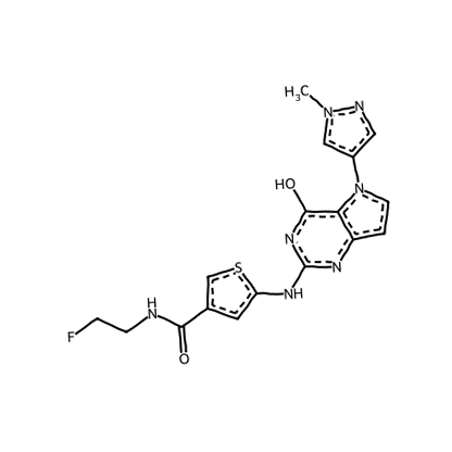 Cn1cc(-n2ccc3nc(Nc4cc(C(=O)NCCF)cs4)nc(O)c32)cn1